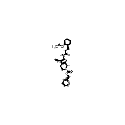 CCOc1ccccc1CCC(=O)Nc1sc2c(c1C#N)CCN(C(=O)OCc1ccccn1)C2